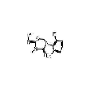 CCc1cccc(CC)c1N1CS/C(=N\C(C)C)N(C)C1=O